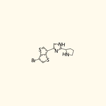 Brc1csc2c(-c3c[nH]c(C4CCCN4)n3)csc12